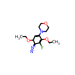 CCOC1=C(F)C(=[N+]=[N-])C(OCC)C=C1N1CCOCC1